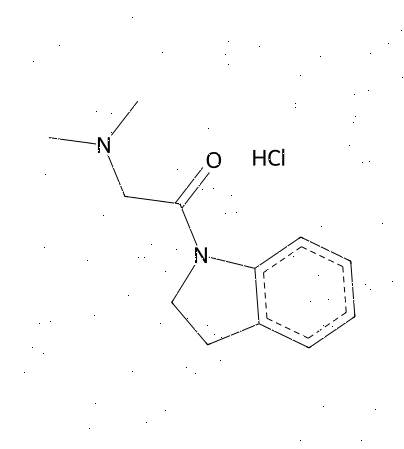 CN(C)CC(=O)N1CCc2ccccc21.Cl